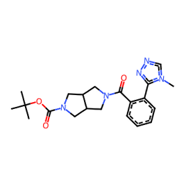 Cn1cnnc1-c1ccccc1C(=O)N1CC2CN(C(=O)OC(C)(C)C)CC2C1